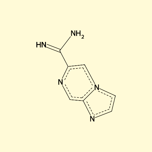 N=C(N)c1cn2ccnc2cn1